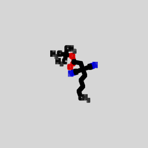 CCCCCC(C#N)(C#N)CC(=O)OC(C)(C)C